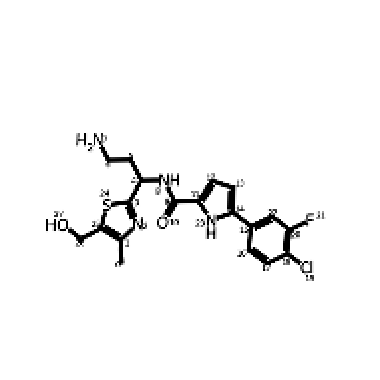 Cc1nc(C(CCN)NC(=O)c2ccc(-c3ccc(Cl)c(F)c3)[nH]2)sc1CO